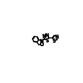 c1ccc2c(c1)CON2c1nnc(-c2cncs2)s1